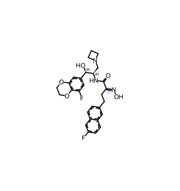 O=C(N[C@H](CN1CCC1)[C@H](O)c1cc(F)c2c(c1)OCCO2)/C(CCc1ccc2cc(F)ccc2c1)=N/O